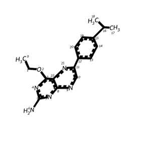 CCOc1nc(N)nc2ncc(-c3ccc(C(C)C)cc3)nc12